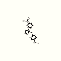 COc1ccc(Cc2[nH]cnc2-c2cc(C(=O)O)ccn2)cc1